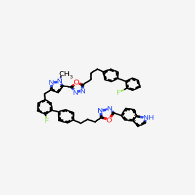 Cn1nc(Cc2ccc(F)c(-c3ccc(CCCc4nnc(-c5ccc6[nH]ccc6c5)o4)cc3)c2)cc1-c1nnc(CCCc2ccc(-c3ccccc3F)cc2)o1